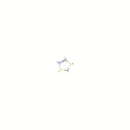 C1=NSCS1